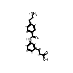 NCCc1ccc(C(=O)Nc2cccc(CCC(=O)O)c2)cc1